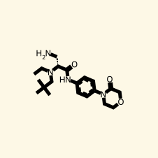 CCN(CC(C)(C)C)[C@H](CN)C(=O)Nc1ccc(N2CCOCC2=O)cc1